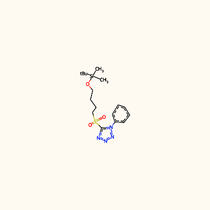 CC(C)(C)[Si](C)(C)OCCCCS(=O)(=O)c1nnnn1-c1ccccc1